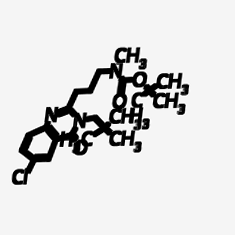 CN(CCCc1nc2ccc(Cl)cc2c(=O)n1CC(C)(C)C)C(=O)OC(C)(C)C